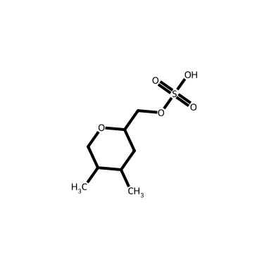 CC1COC(COS(=O)(=O)O)CC1C